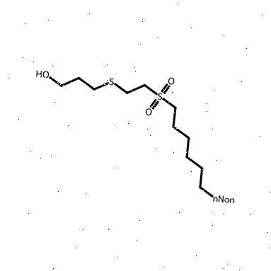 CCCCCCCCCCCCCCCS(=O)(=O)CCSCCCO